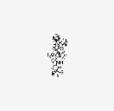 Cc1c(C(=O)Nc2ccc(F)c(C(F)F)c2)c2n(c1C(=O)C(=O)NC1(c3nncs3)CC(F)(F)C1)CCC2